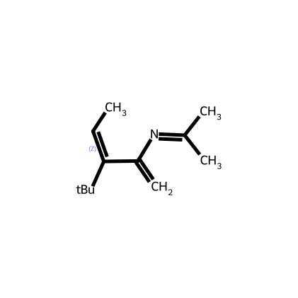 C=C(N=C(C)C)/C(=C\C)C(C)(C)C